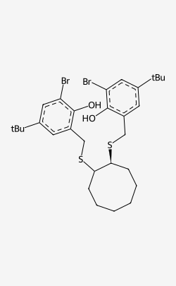 CC(C)(C)c1cc(Br)c(O)c(CSC2CCCCCC[C@@H]2SCc2cc(C(C)(C)C)cc(Br)c2O)c1